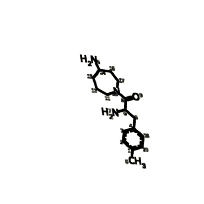 Cc1ccc(CC(N)C(=O)N2CCCC(N)CC2)cc1